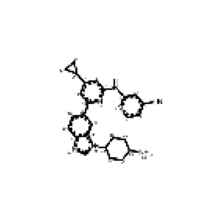 N#Cc1ccnc(Nc2cc(C3CC3)cc(-c3ccc4ncn(C5CCC(N)CC5)c4c3)n2)c1